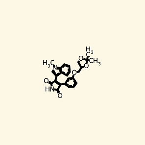 Cn1cc(C2=C(c3cccc(OCC4COC(C)(C)O4)c3)C(=O)NC2=O)c2ccccc21